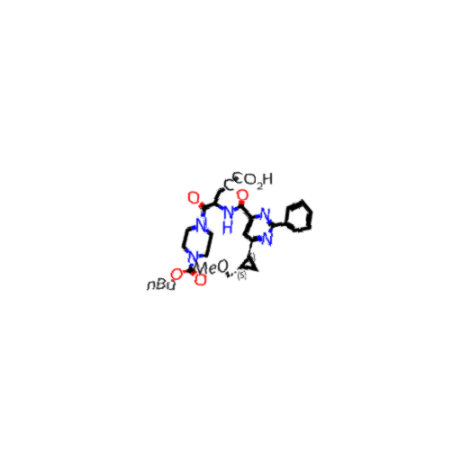 CCCCOC(=O)N1CCN(C(=O)C(CCC(=O)O)NC(=O)c2cc([C@H]3C[C@@H]3COC)nc(-c3ccccc3)n2)CC1